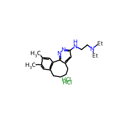 CCN(CC)CCNc1cc2c(nn1)-c1cc(C)c(C)cc1CCCC2.Cl.Cl